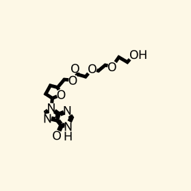 O=C(COCCOCCO)OCC1CCC(n2cnc3c(=O)[nH]cnc32)O1